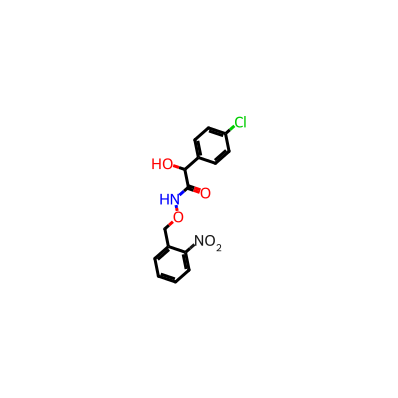 O=C(NOCc1ccccc1[N+](=O)[O-])C(O)c1ccc(Cl)cc1